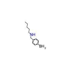 Bc1ccc(CNCCCCC)cc1